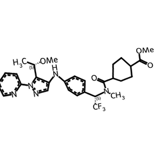 COC(=O)C1CCC(C(=O)N(C)[C@@H](c2ccc(Nc3cnn(-c4ccccn4)c3[C@H](C)OC)cc2)C(F)(F)F)CC1